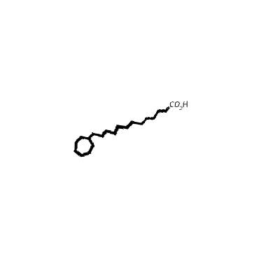 O=C(O)CCCCCCCCCCCCC1CCCCCC1